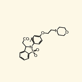 O=C(O)CC1c2ccccc2S(=O)(=O)N1c1ccc(OCCN2CCOCC2)cc1